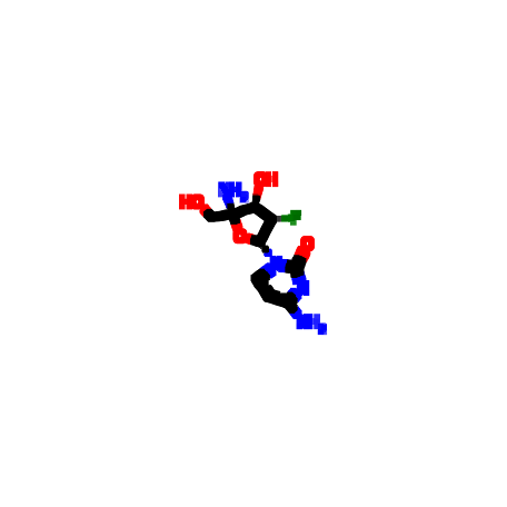 Nc1ccn([C@@H]2O[C@](N)(CO)[C@@H](O)[C@@H]2F)c(=O)n1